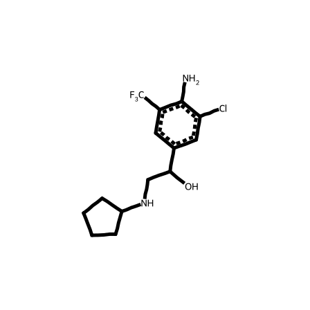 Nc1c(Cl)cc(C(O)CNC2CCCC2)cc1C(F)(F)F